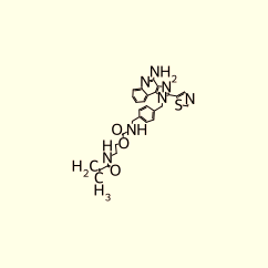 C=C(C)C(=O)NCCOC(=O)NCc1ccc(Cn2c(-c3cncs3)nc3c(N)nc4ccccc4c32)cc1